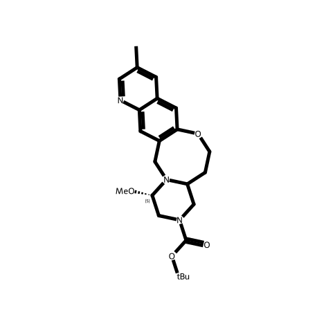 CO[C@H]1CN(C(=O)OC(C)(C)C)CC2CCOc3cc4cc(C)cnc4cc3CN21